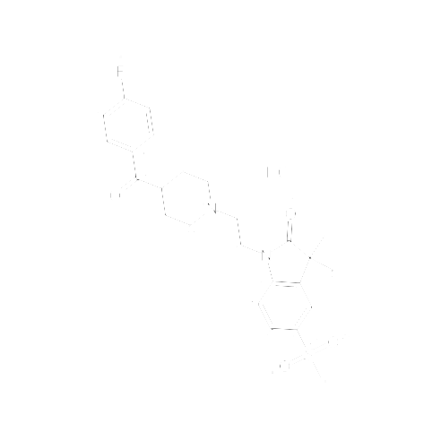 CC1(C)C(=O)N(CCN2CCC(C(=O)c3ccc(F)cc3)CC2)c2ccc(S(C)(=O)=O)cc21.Cl